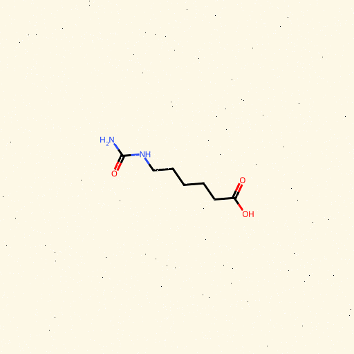 NC(=O)NCCCCCC(=O)O